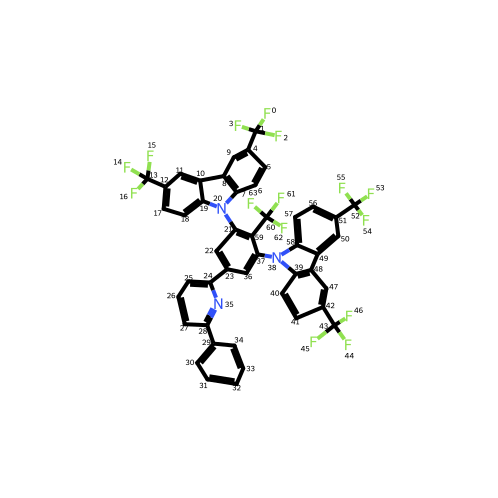 FC(F)(F)c1ccc2c(c1)c1cc(C(F)(F)F)ccc1n2-c1cc(-c2cccc(-c3ccccc3)n2)cc(-n2c3ccc(C(F)(F)F)cc3c3cc(C(F)(F)F)ccc32)c1C(F)(F)F